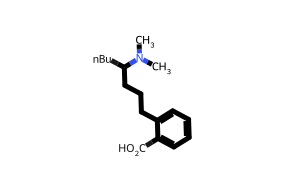 CCCCC(CCCc1ccccc1C(=O)O)N(C)C